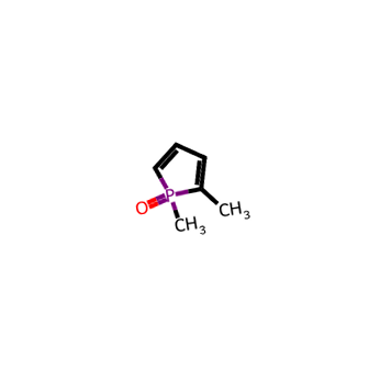 CC1=CC=CP1(C)=O